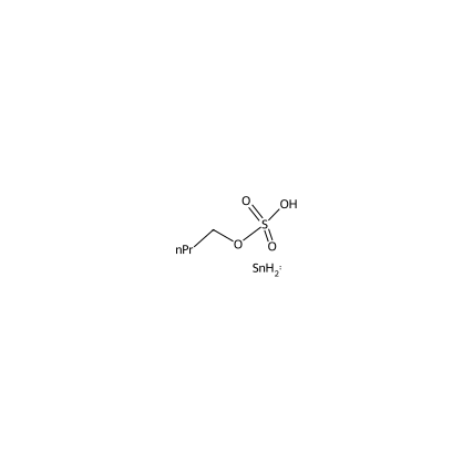 CCCCOS(=O)(=O)O.[SnH2]